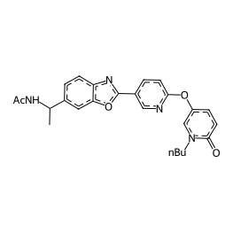 CCCCn1cc(Oc2ccc(-c3nc4ccc(C(C)NC(C)=O)cc4o3)cn2)ccc1=O